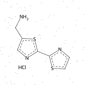 Cl.NCc1cnc(-c2nccs2)s1